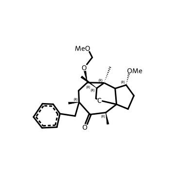 COCO[C@@H]1C[C@@](C)(Cc2ccccc2)C(=O)[C@H](C)C23CC[C@@H](C)[C@]1(C)C2[C@H](OC)CC3